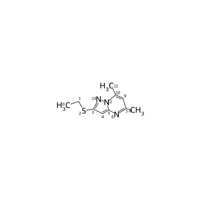 CCSc1cc2nc(C)cc(C)n2n1